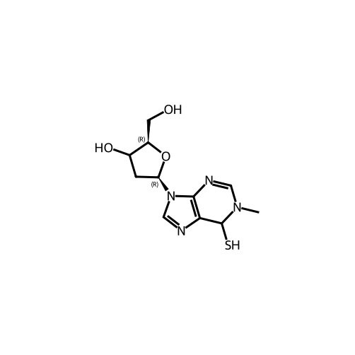 CN1C=Nc2c(ncn2[C@H]2CC(O)[C@@H](CO)O2)C1S